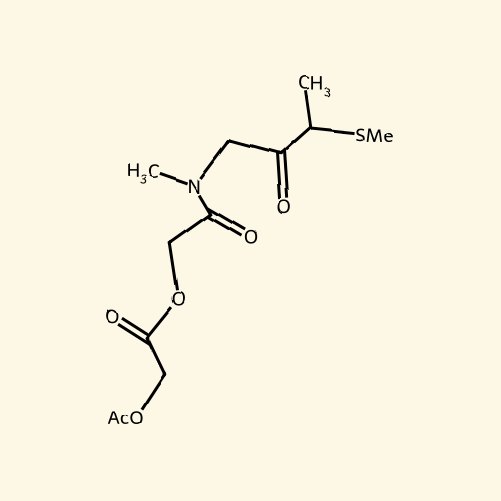 CSC(C)C(=O)CN(C)C(=O)COC(=O)COC(C)=O